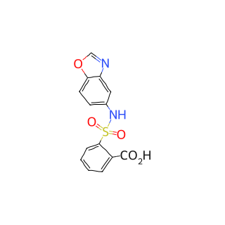 O=C(O)c1ccccc1S(=O)(=O)Nc1ccc2ocnc2c1